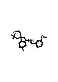 COc1cccc(CNCCC2(c3ccc(C)cc3)CCOC(C)(C)C2)c1